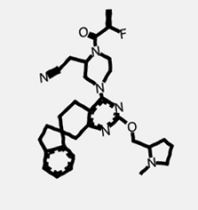 C=C(F)C(=O)N1CCN(c2nc(OCC3CCCN3C)nc3c2CCC2(CCc4ccccc42)C3)CC1CC#N